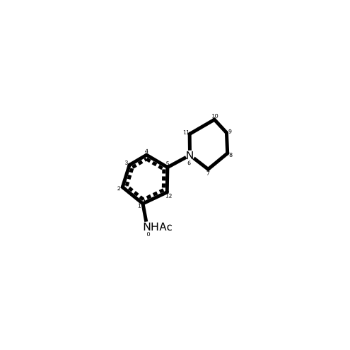 CC(=O)Nc1cccc(N2CCCCC2)c1